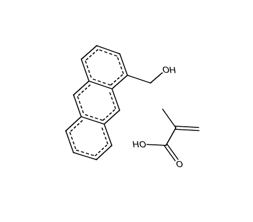 C=C(C)C(=O)O.OCc1cccc2cc3ccccc3cc12